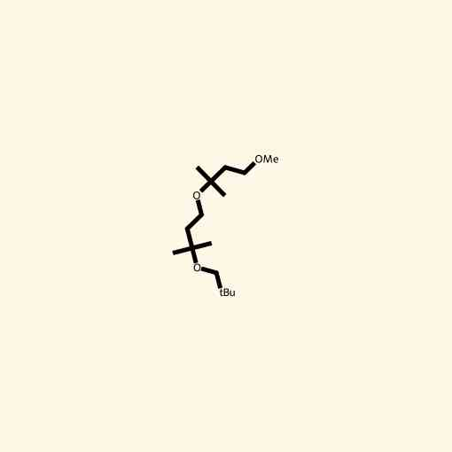 COCCC(C)(C)OCCC(C)(C)OCC(C)(C)C